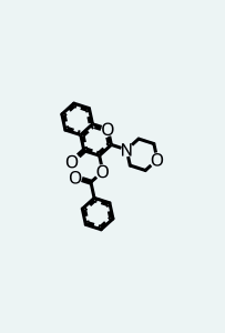 O=C(Oc1c(N2CCOCC2)oc2ccccc2c1=O)c1ccccc1